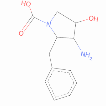 NC1C(O)CN(C(=O)O)C1Cc1ccccc1